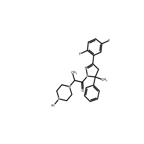 CC(=O)N1CCN(C(C)C(=O)N2N=C(c3cc(F)ccc3F)CC2(C)c2ccccc2)CC1